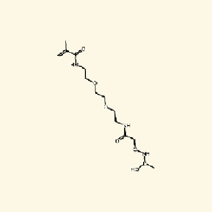 C=C(C)C(=O)NCCOCCOCCNC(=O)CONB(C)O